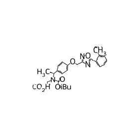 Cc1ccccc1-c1nc(COc2ccc([C@H](C)N(CC(=O)O)C(=O)OCC(C)C)cc2)no1